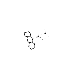 NC(=O)O.NC(=O)O.c1ccc2cc3ccccc3cc2c1